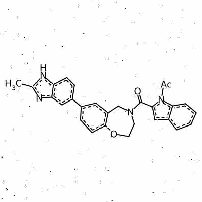 CC(=O)n1c(C(=O)N2CCOc3ccc(-c4ccc5[nH]c(C)nc5c4)cc3C2)cc2ccccc21